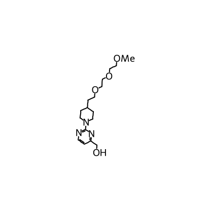 COCCOCCOCCC1CCN(c2nccc(CO)n2)CC1